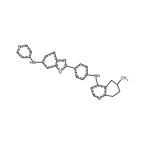 CC1CCc2nccc(Nc3ccc(-c4nc5ccc(Nc6ccncc6)cc5o4)cc3)c2C1